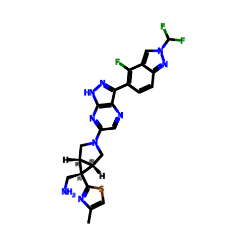 Cc1csc([C@]2(CN)[C@@H]3CN(c4cnc5c(-c6ccc7nn(C(F)F)cc7c6F)n[nH]c5n4)C[C@@H]32)n1